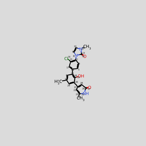 Cc1cc(-c2ccc(-n3ccn(C)c3=O)c(Cl)c2)c(O)c(-c2cc(C)[nH]c(=O)c2)c1